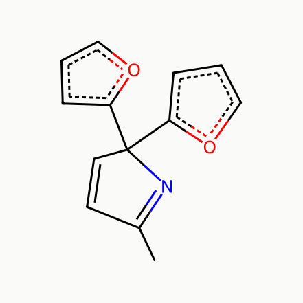 CC1=NC(c2ccco2)(c2ccco2)C=C1